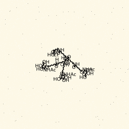 CCP(=O)(O)OC(C)CC(C)(C)NC(=O)CCCCCNC(=O)C(CCCCNC(=O)CCCCCOC1OC(CO)C(O)C(O)C1NC(C)=O)NC(=O)C(CCCCNC(=O)CCCCCOC1OC(CO)C(O)C(O)C1NC(C)=O)NC(=O)CCCCCOC1OC(CO)C(O)C(O)C1NC(C)=O